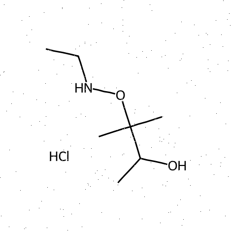 CCNOC(C)(C)C(C)O.Cl